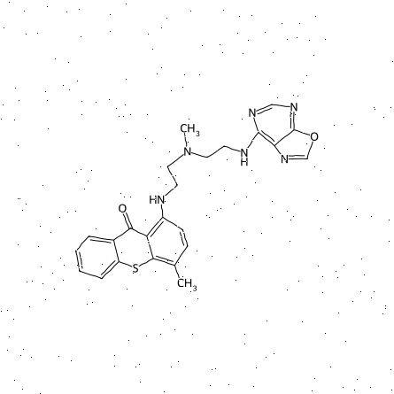 Cc1ccc(NCCN(C)CCNc2ncnc3ocnc23)c2c(=O)c3ccccc3sc12